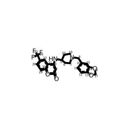 O=c1cc(NC2CCN(Cc3ccc4c(c3)OCO4)CC2)c2cc(C(F)(F)F)ccc2o1